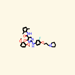 COc1cccc(OC)c1Oc1nc(Nc2ccc(OCCCN3CCCCC3)c(F)c2)ncc1C(=O)Nc1c(C)cccc1C